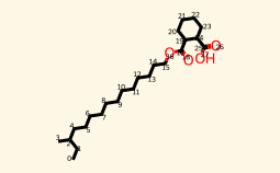 CCC(C)CCCCCCCCCCCCOC(=O)C1CCCCC1C(=O)O